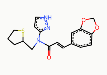 O=C(C=Cc1ccc2c(c1)OCO2)N(CC1CCCS1)c1cc[nH]n1